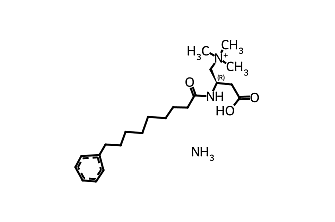 C[N+](C)(C)C[C@@H](CC(=O)O)NC(=O)CCCCCCCCc1ccccc1.N